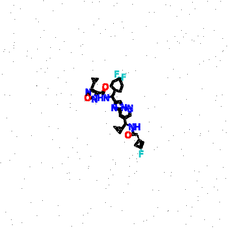 O=C(C[C@]12C[C@](F)(C1)C2)N[C@@H](c1cnn2cc([C@@H](NC(=O)c3nonc3C3CC3)C3CCC(F)(F)CC3)nc2c1)C1CC1